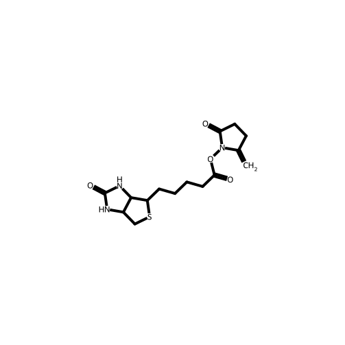 C=C1CCC(=O)N1OC(=O)CCCCC1SCC2NC(=O)NC21